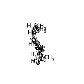 C[C@@H]1CCN(C(=O)CC#N)CC1/C=[N+](\C)c1ncnc2c1ccn2C(=O)Nc1ccc(CCNC(=O)OC(C)(C)C)cc1